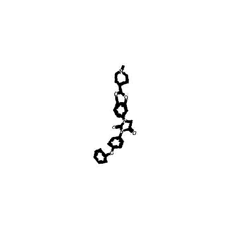 CN1CCC(C2Oc3ccc(N4CC(=O)N(c5ccc(Oc6ccccc6)cc5)C4=O)cc3O2)CC1